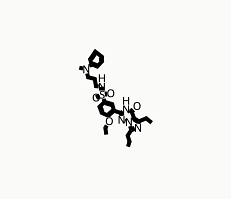 CCCc1nc(CC)c2c(=O)[nH]c(-c3cc(S(=O)(=O)NCCCN(C)c4ccccc4)ccc3OCC)nn12